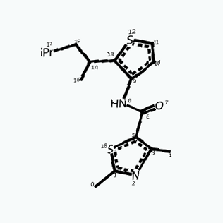 Cc1nc(C)c(C(=O)Nc2ccsc2C(C)CC(C)C)s1